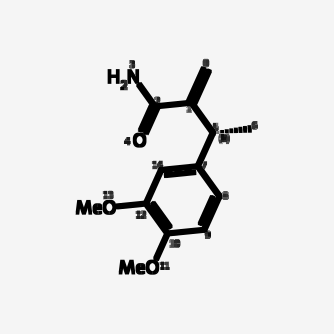 C=C(C(N)=O)[C@H](C)c1ccc(OC)c(OC)c1